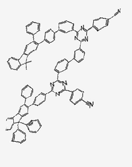 CC1(C)c2ccccc2-c2cc(-c3ccccc3)c(-c3ccc(-c4cccc(-c5nc(-c6ccc(C#N)cc6)nc(-c6cccc(-c7cccc(-c8nc(-c9ccc(C#N)cc9)nc(-c9ccc(-c%10cc%11c(cc%10-c%10ccccc%10)-c%10ccccc%10C%11(c%10ccccc%10)c%10ccccc%10)cc9)n8)c7)c6)n5)c4)cc3)cc21